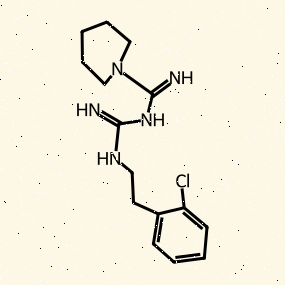 N=C(NCCc1ccccc1Cl)NC(=N)N1CCCCC1